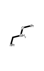 CCCC[SiH2]OC(C)C